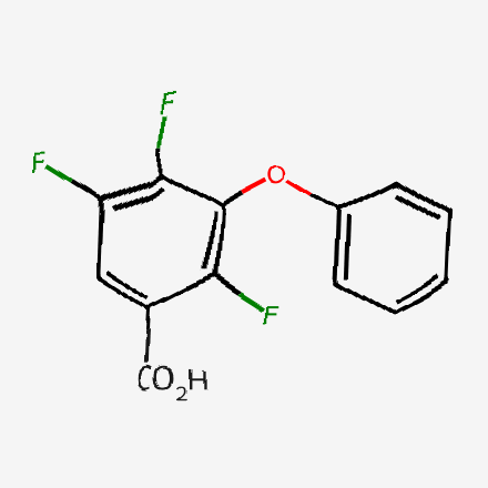 O=C(O)c1cc(F)c(F)c(Oc2ccccc2)c1F